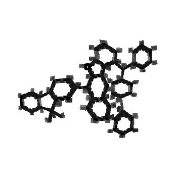 CC1(C)c2ccccc2-c2ccc(-c3c4ccccc4cc4c3oc3cccc(C(c5ccccc5)c5ccc(-c6ccccc6)cc5)c34)cc21